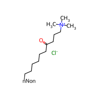 CCCCCCCCCCCCCCCC(=O)CCC[N+](C)(C)C.[Cl-]